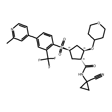 Cc1cc(-c2ccc(S(=O)(=O)[C@H]3C[C@@H](OC4CCOCC4)[C@H](C(=O)NC4(C#N)CC4)C3)c(C(F)(F)F)c2)ccn1